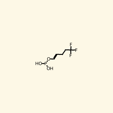 OP(O)OC=CCCC(F)(F)F